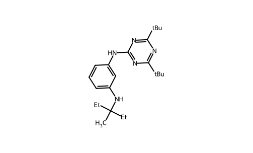 CCC(C)(CC)Nc1cccc(Nc2nc(C(C)(C)C)nc(C(C)(C)C)n2)c1